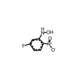 O=[N+]([O-])c1ccc(F)cc1NO